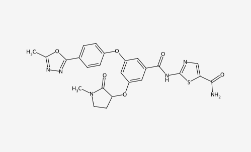 Cc1nnc(-c2ccc(Oc3cc(OC4CCN(C)C4=O)cc(C(=O)Nc4ncc(C(N)=O)s4)c3)cc2)o1